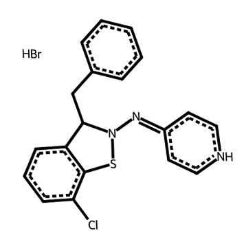 Br.Clc1cccc2c1SN(N=c1cc[nH]cc1)C2Cc1ccccc1